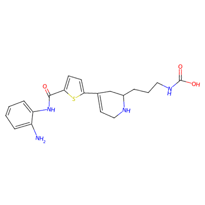 Nc1ccccc1NC(=O)c1ccc(C2=CCNC(CCCNC(=O)O)C2)s1